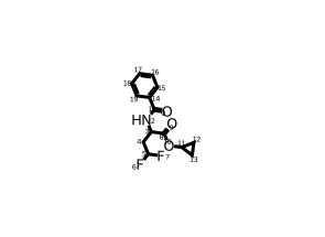 O=C(NC(CC(F)F)C(=O)OC1CC1)c1ccccc1